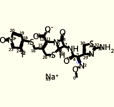 CO/N=C(\C(=O)NC1C(=O)N2C(C(=O)[O-])=C(CSc3cc[n+]([O-])cc3F)CS[C@@H]12)c1csc(N)n1.[Na+]